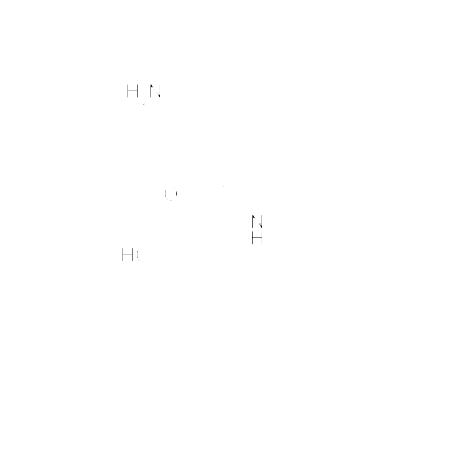 Cc1cc(Cc2ccccc2)[nH]c(=O)c1CN.Cl